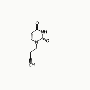 C#CCCn1ccc(=O)[nH]c1=O